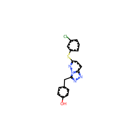 Oc1ccc(Cc2nnc3ccc(Sc4cccc(Cl)c4)nn23)cc1